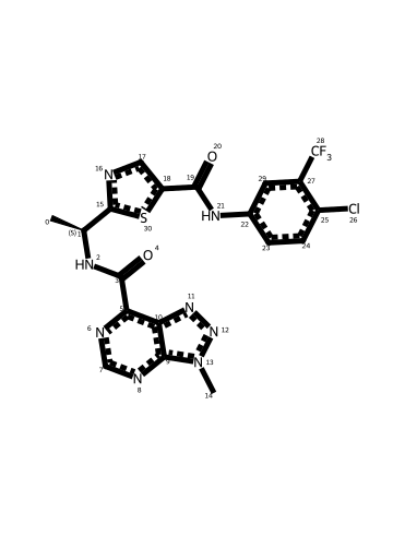 C[C@H](NC(=O)c1ncnc2c1nnn2C)c1ncc(C(=O)Nc2ccc(Cl)c(C(F)(F)F)c2)s1